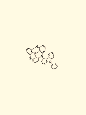 c1ccc(-n2c3ccccc3c3c2ccc2c4ccc5c6c4n(c23)-c2cccc3c2B6c2c(cccc2S5)S3)cc1